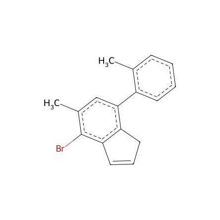 Cc1ccccc1-c1cc(C)c(Br)c2c1CC=C2